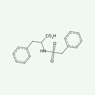 O=C(O)C(Cc1ccccc1)NS(=O)(=O)Cc1ccccc1